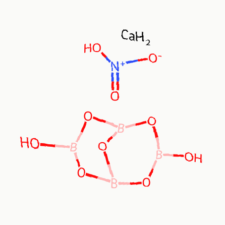 O=[N+]([O-])O.OB1OB2OB(O)OB(O1)O2.[CaH2]